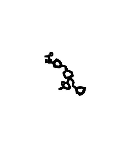 CC(=O)Nc1ccc(CN2CCC(CCc3ccccc3)(C3CCC(C)O3)CC2)cc1